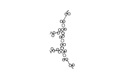 C=CC(=O)OCCCCOC(=O)[C@H]1CC[C@H](C(=O)Oc2ccc(OC(=O)[C@H]3CC[C@H](C(=O)Oc4ccc(OC(=O)[C@H]5CC[C@H](C(=O)OCCCCOC(=O)C=C)CC5)c(C(=O)OCCOC(=O)C(=C)C)c4)CC3)cc2C(=O)OCCOC(=O)C(=C)C)CC1